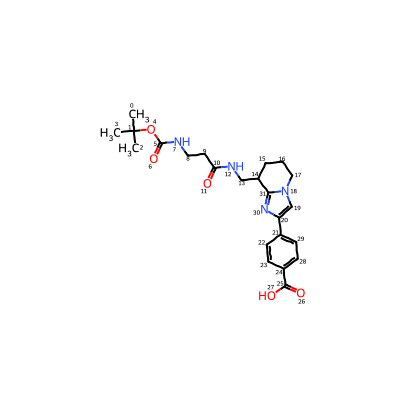 CC(C)(C)OC(=O)NCCC(=O)NCC1CCCn2cc(-c3ccc(C(=O)O)cc3)nc21